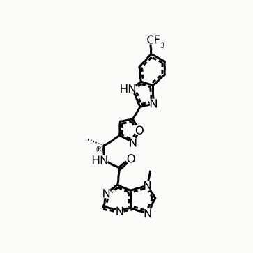 C[C@@H](NC(=O)c1ncnc2ncn(C)c12)c1cc(-c2nc3ccc(C(F)(F)F)cc3[nH]2)on1